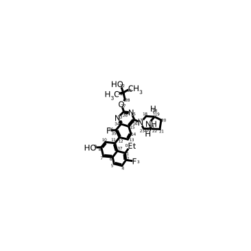 CCc1c(F)ccc2cc(O)cc(-c3ccc4c(N5C[C@H]6CC[C@@H](C5)N6)nc(OCC(C)(C)O)nc4c3F)c12